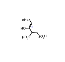 CCCCCC/C=C(\O)C(CS(=O)(=O)O)S(=O)(=O)O